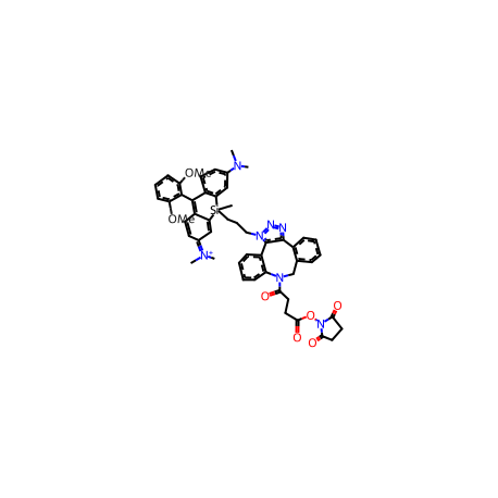 COc1cccc(OC)c1C1=C2C=CC(=[N+](C)C)C=C2[Si](C)(CCCn2nnc3c2-c2ccccc2N(C(=O)CCC(=O)ON2C(=O)CCC2=O)Cc2ccccc2-3)c2cc(N(C)C)ccc21